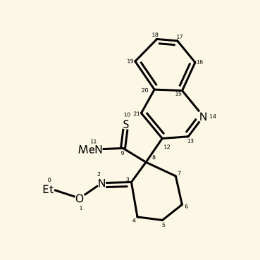 CCO/N=C1\CCCCC1(C(=S)NC)c1cnc2ccccc2c1